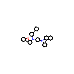 c1ccc(-c2cccc(N(c3ccc(-n4c5ccccc5c5c6ccccc6ccc54)cc3)c3cccc4c3oc3ccccc34)c2)cc1